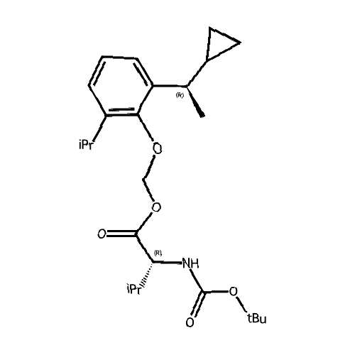 CC(C)c1cccc([C@H](C)C2CC2)c1OCOC(=O)[C@H](NC(=O)OC(C)(C)C)C(C)C